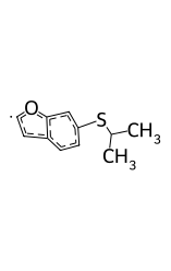 CC(C)Sc1ccc2c[c]oc2c1